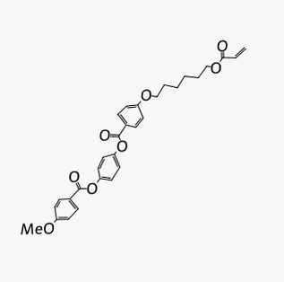 C=CC(=O)OCCCCCCOc1ccc(C(=O)Oc2ccc(OC(=O)c3ccc(OC)cc3)cc2)cc1